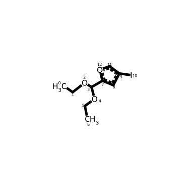 CCOC(OCC)c1cc(I)co1